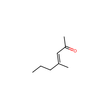 CCCC(C)=CC(C)=O